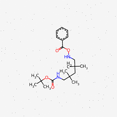 CC(C)(CNOC(=O)c1ccccc1)CC(C)(C)CNC(=O)OC(C)(C)C